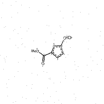 COC(=O)c1ccc([C]=O)o1